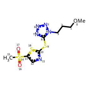 COCCCn1nnnc1Sc1ncc(S(C)(=O)=O)s1